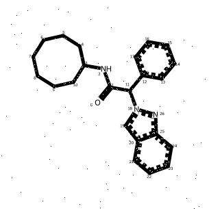 O=C(NC1CCCCCCC1)C(c1ccccc1)n1cc2ccccc2n1